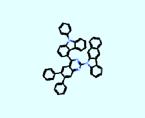 c1ccc(-c2cc3nc(-n4c5ccccc5c5cc6ccccc6cc54)nc(-c4cccc5c4c4ccccc4n5-c4ccccc4)c3cc2-c2ccccc2)cc1